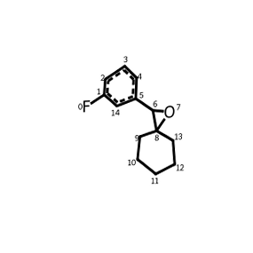 Fc1cccc(C2OC23CCCCC3)c1